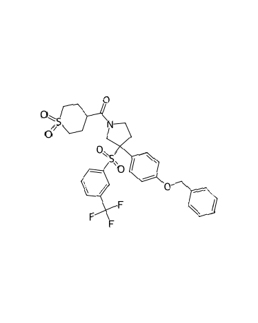 O=C(C1CCS(=O)(=O)CC1)N1CCC(c2ccc(OCc3ccccc3)cc2)(S(=O)(=O)c2cccc(C(F)(F)F)c2)C1